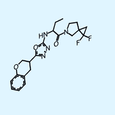 CCC(Nc1nnc(C2COc3ccccc3C2)o1)C(=O)N1CCC2(C1)CC2(F)F